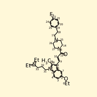 CCOc1ccc2c(c1)c(C=CC(=O)N1CCN(CCc3ccc(F)cc3)CC1)c(C)n2CCCN(CC)CC